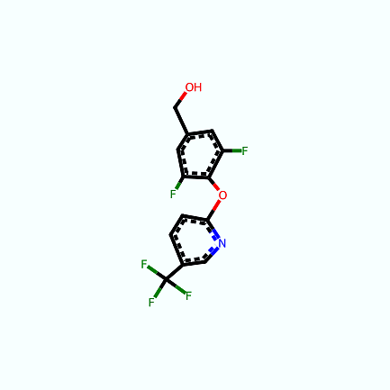 OCc1cc(F)c(Oc2ccc(C(F)(F)F)cn2)c(F)c1